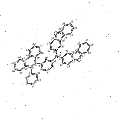 c1ccc(-c2c(-c3cccc(N(c4ccc5oc6ccccc6c5c4)c4ccc5oc6ccccc6c5c4)c3)c3ccccc3c3ccccc23)cc1